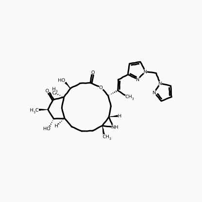 C/C(=C\c1ccn(Cn2cccn2)n1)[C@@H]1C[C@@H]2N[C@]2(C)CCC[C@@H]2C[C@@](C)(C(=O)[C@H](C)[C@H]2O)[C@@H](O)CC(=O)O1